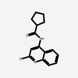 O=C(Nc1cc(Cl)nc2ccccc12)C1CCCC1